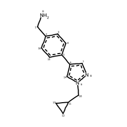 NCc1ccc(-c2cnn(CC3CC3)c2)cc1